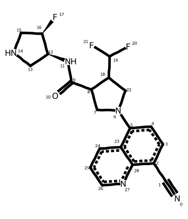 N#Cc1ccc(N2CC(C(=O)N[C@H]3CNC[C@H]3F)C(C(F)F)C2)c2cccnc12